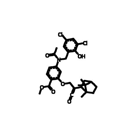 COC(=O)c1ccc(N(Cc2cc(Cl)cc(Cl)c2O)C(C)=O)cc1OCC(=C=O)C1CC2CCC1(C)C2(C)C